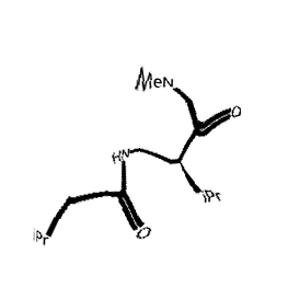 CNC(=O)[C@H](NC(=O)CC(C)C)C(C)C